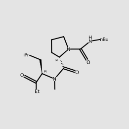 CCCCNC(=O)N1CCC[C@H]1C(=O)N(C)[C@H](CC(C)C)C(=O)CC